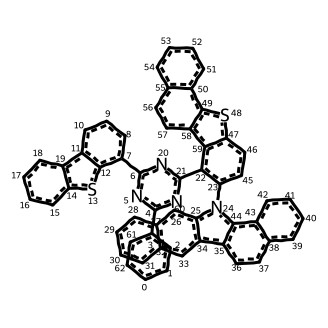 c1ccc(-c2nc(-c3cccc4c3sc3ccccc34)nc(-c3c(-n4c5cc6ccccc6cc5c5ccc6ccccc6c54)ccc4sc5c6ccccc6ccc5c34)n2)cc1